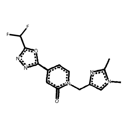 Cc1nc(Cn2ccc(-c3nnc(C(F)F)o3)cc2=O)cn1C